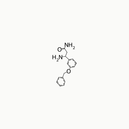 NC(=O)CC(N)c1cccc(OCc2ccccc2)c1